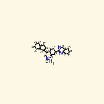 CN1Cc2cc(-c3ncc4ccccc4n3)ccc2C(c2ccc3ccccc3c2)C1